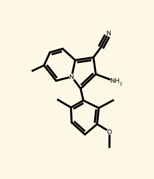 COc1ccc(C)c(-c2c(N)c(C#N)c3ccc(C)cn23)c1C